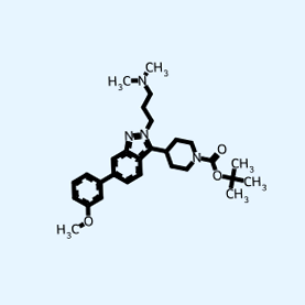 COc1cccc(-c2ccc3c(C4CCN(C(=O)OC(C)(C)C)CC4)n(CCCN(C)C)nc3c2)c1